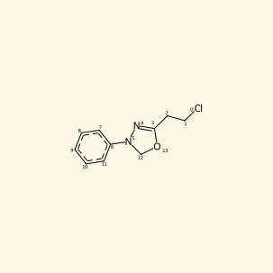 ClCCC1=NN(c2ccccc2)CO1